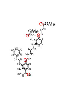 COC(=O)CCCOc1cccc(CCCCCCOc2ccc3c(c2CCCc2ccccc2)CCCC3=O)c1CCC(=O)OC